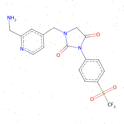 NCc1cc(CN2CC(=O)N(c3ccc(S(=O)(=O)C(F)(F)F)cc3)C2=O)ccn1